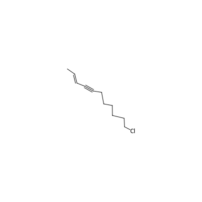 CC=CC#CCCCCCCCl